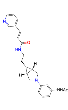 CC(=O)Nc1cccc(N2C[C@@H]3[C@@H](CCNC(=O)/C=C/c4cccnc4)[C@@H]3C2)c1